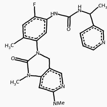 CNc1cc2c(cn1)CN(c1cc(NC(=O)NC(C)c3cccnc3)c(F)cc1C)C(=O)N2C